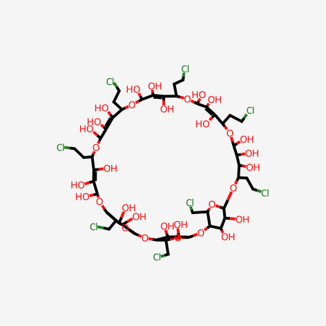 O/C1=C(\O)C(CCCl)OC(O)/C(O)=C(\O)C(CCCl)OC(O)/C(O)=C(\O)C(CCCl)OC(O)C(O)C(O)C(CCCl)OC2OC(CCl)C(OC3OC(CCl)C(OC4OC(CCl)C(OC(O)/C(O)=C(\O)C(CCCl)OC1O)C(O)C4O)C(O)C3O)C(O)C2O